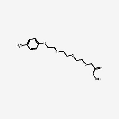 CCCCOC(=O)COCCOCCOCCOc1ccc(N)cc1